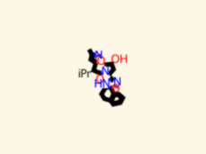 Cc1cc([C@H](C(=O)N2C[C@H](O)C[C@H]2C2=NO[C@@]3(CCCc4ccccc43)N2)C(C)C)on1